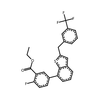 CCOC(=O)c1cc(-c2cccc3cc(Cc4cccc(C(F)(F)F)c4)sc23)ccc1F